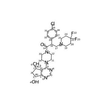 C[C@@H]1C[C@@H](O)c2ncnc(N3CCN(C(=O)C(CN4CCC(F)(F)CC4)c4ccc(Cl)cc4)CC3)c21